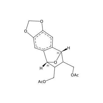 CC(=O)OCC1C(COC(C)=O)[C@H]2O[C@@H]1c1cc3c(cc12)OCO3